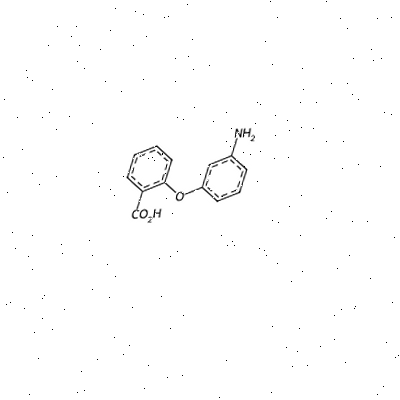 Nc1cccc(Oc2ccccc2C(=O)O)c1